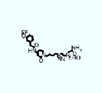 NC(=O)CN(C=O)c1cn(CCCCn2ccc(NC(=O)Cc3cccc(OC(F)(F)F)c3)cc2=O)nn1